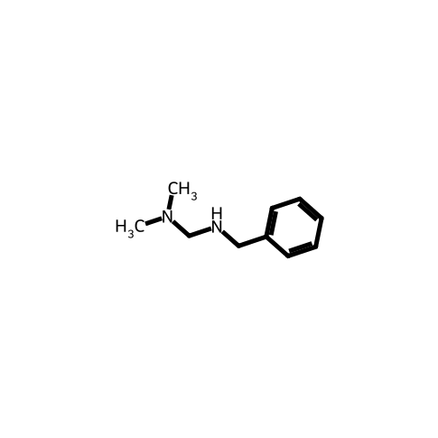 CN(C)CNCc1ccccc1